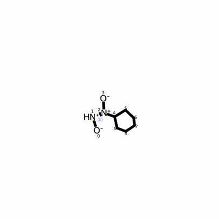 [O-]/[NH+]=[N+](/[O-])C1CCCCC1